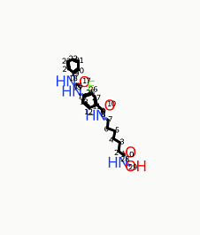 O=C(CCCCCCNC(=O)c1ccc(NC(=O)Nc2ccccc2)c(F)c1)NO